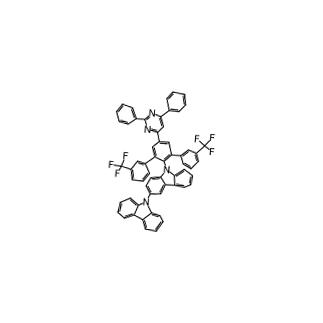 FC(F)(F)c1cccc(-c2cc(-c3cc(-c4ccccc4)nc(-c4ccccc4)n3)cc(-c3cccc(C(F)(F)F)c3)c2-n2c3ccccc3c3cc(-n4c5ccccc5c5ccccc54)ccc32)c1